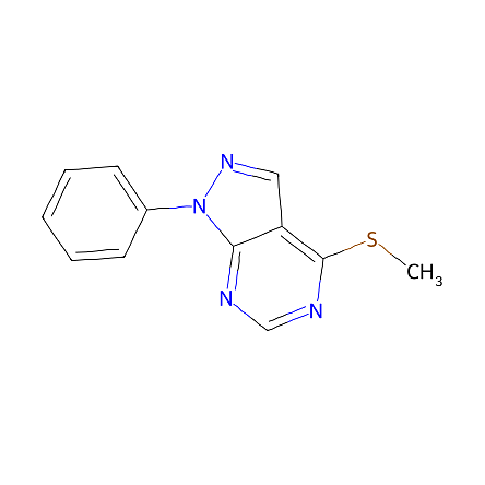 CSc1ncnc2c1cnn2-c1ccccc1